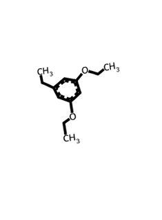 CCOc1cc(CC)cc(OCC)c1